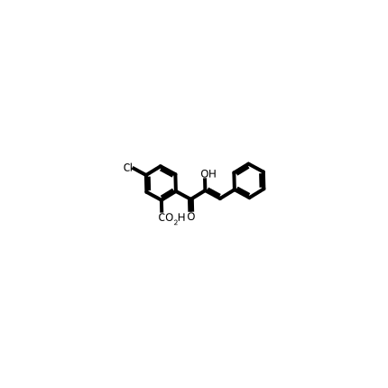 O=C(O)c1cc(Cl)ccc1C(=O)C(O)=Cc1ccccc1